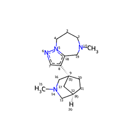 CN1CCCn2ncc([C@@]34CC[C@@H](CN(C)C3)C4)c2C1